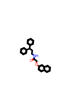 O=C(COc1ccc2ccccc2c1)NCCC(c1ccccc1)c1ccccc1